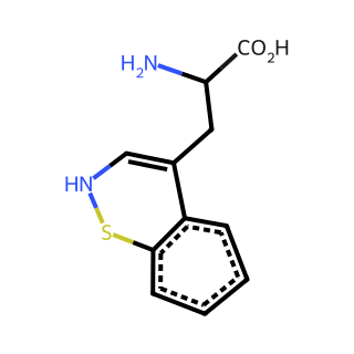 NC(CC1=CNSc2ccccc21)C(=O)O